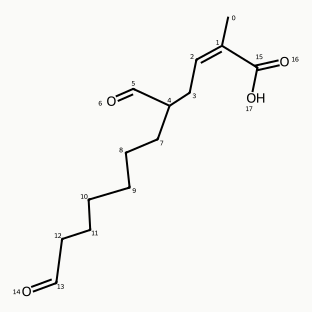 CC(=CCC(C=O)CCCCCCC=O)C(=O)O